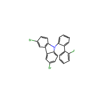 Fc1ccccc1-c1ccccc1-n1c2ccc(Br)cc2c2cc(Br)ccc21